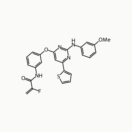 C=C(F)C(=O)Nc1cccc(Oc2cc(-c3cccs3)nc(Nc3cccc(OC)c3)n2)c1